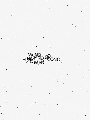 CNCc1cc(NC(=O)C(CCCNC(N)=O)NC)ccc1COC(=O)Oc1ccc([N+](=O)[O-])cc1